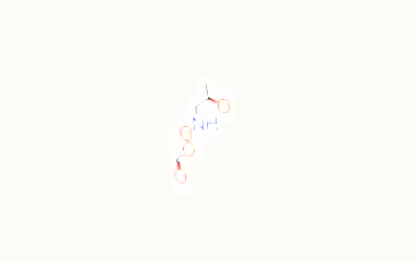 CC(=O)CNOOC=O